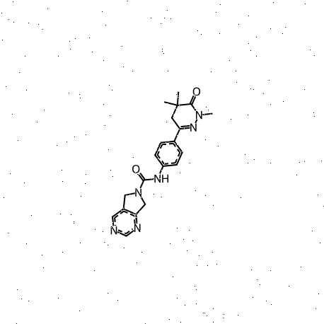 CN1N=C(c2ccc(NC(=O)N3Cc4cncnc4C3)cc2)CC(C)(C)C1=O